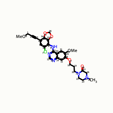 COCC#Cc1cc(Cl)c(Nc2ncnc3cc(OCCCN4CCN(C)CC4=O)c(OC)cc23)c2c1OCO2